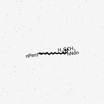 CCCCCC=CCC=CCCCCCCCC=CC(CCCCCCCCC)N(C)C